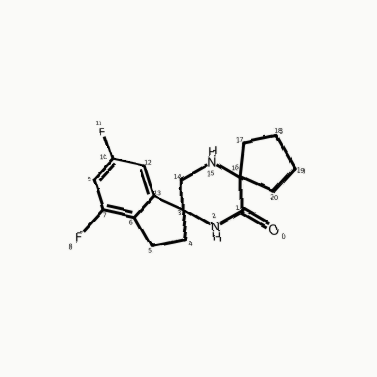 O=C1NC2(CCc3c(F)cc(F)cc32)CNC12CCCC2